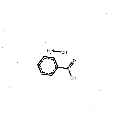 NO.O=S(O)c1ccccc1